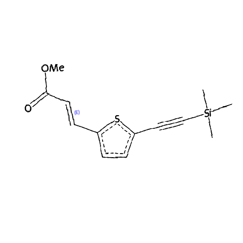 COC(=O)/C=C/c1ccc(C#C[Si](C)(C)C)s1